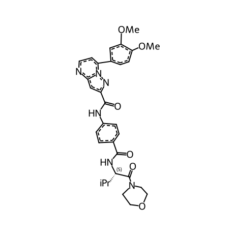 COc1ccc(-c2ccnc3cc(C(=O)Nc4ccc(C(=O)N[C@H](C(=O)N5CCOCC5)C(C)C)cc4)nn23)cc1OC